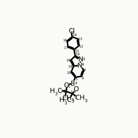 CC1(C)OB(c2ccn3nc(-c4ccc(Cl)cc4)cc3c2)OC1(C)C